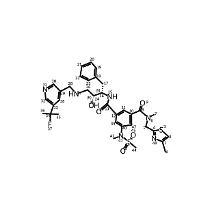 Cc1csc(CN(C)C(=O)c2cc(C(=O)N[C@@H](Cc3ccccc3)[C@H](O)CNCc3cncc(C(C)(C)F)c3)cc(N(C)S(C)(=O)=O)c2)n1